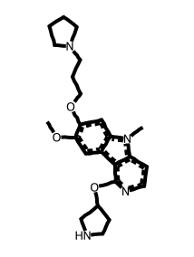 COc1cc2c3c(OC4CCNC4)nccc3n(C)c2cc1OCCCN1CCCC1